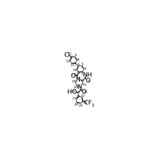 O=C1Nc2ccc(-c3ccc(Cl)cc3)cc2C(=O)N2CCN(C(=O)C(O)c3cccc(C(F)(F)F)c3)CC12